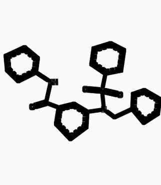 O=C(Nc1ccccc1)c1cccc(N(Cc2ccccc2)S(=O)(=O)c2ccccc2)c1